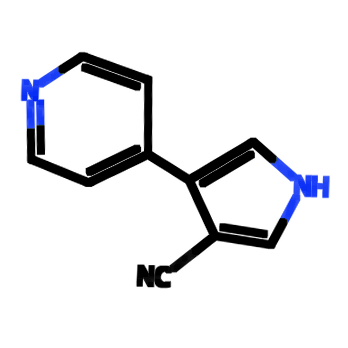 N#Cc1c[nH]cc1-c1ccncc1